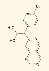 CCc1ccc(C(c2cc3ncncc3cn2)C(C)O)cc1